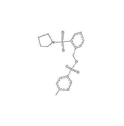 Cc1ccc(S(=O)(=O)OCc2ccccc2S(=O)(=O)N2CCCC2)cc1